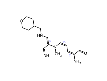 CN(/C=C\C=C(\N)C=O)/C(C=N)=C/NCC1CCOCC1